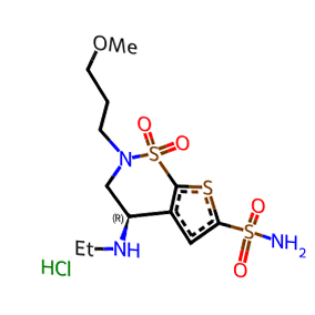 CCN[C@H]1CN(CCCOC)S(=O)(=O)c2sc(S(N)(=O)=O)cc21.Cl